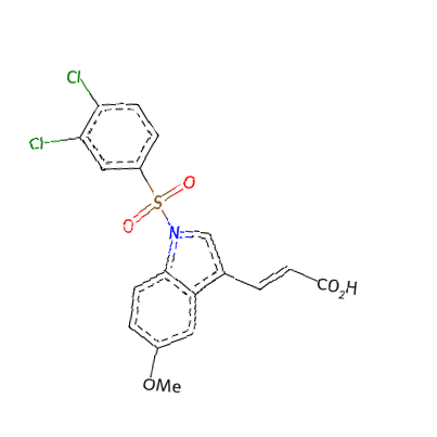 COc1ccc2c(c1)c(/C=C/C(=O)O)cn2S(=O)(=O)c1ccc(Cl)c(Cl)c1